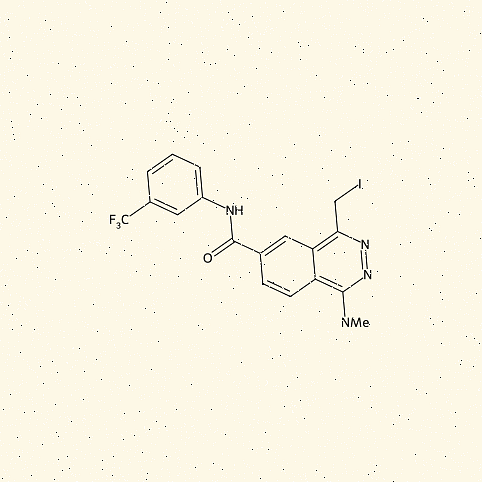 CNc1nnc(CI)c2cc(C(=O)Nc3cccc(C(F)(F)F)c3)ccc12